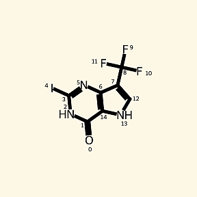 O=c1[nH]c(I)nc2c(C(F)(F)F)c[nH]c12